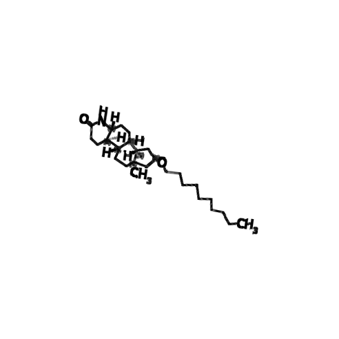 CCCCCCCCCCO[C@H]1C[C@H]2[C@@H]3CC[C@H]4NC(=O)CC[C@@H]4[C@H]3CC[C@]2(C)C1